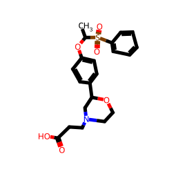 CC(Oc1ccc(C2CN(CCC(=O)O)CCO2)cc1)S(=O)(=O)c1ccccc1